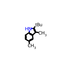 Cc1ccc2[nH]c(C(C)(C)C)c(C)c2c1